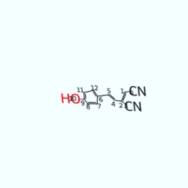 N#CC=C(C#N)C=Cc1ccc(O)cc1